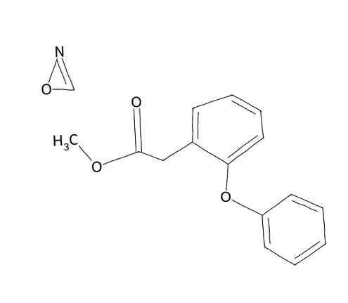 C1=NO1.COC(=O)Cc1ccccc1Oc1ccccc1